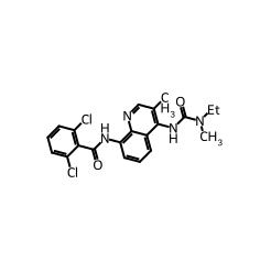 CCN(C)C(=O)Nc1c(C)cnc2c(NC(=O)c3c(Cl)cccc3Cl)cccc12